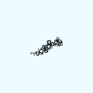 [CH2][CH]COc1ccc(S(=O)(=O)c2ccc(OCC(CCl)OC(C)=O)c(Cl)c2)cc1